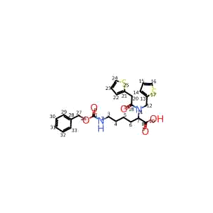 O=C(NCCCCC(C(=O)O)N(Cc1cccs1)C(=O)Cc1cccs1)OCc1ccccc1